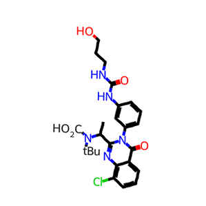 CC(c1nc2c(Cl)cccc2c(=O)n1-c1cccc(NC(=O)NCCCO)c1)N(C(=O)O)C(C)(C)C